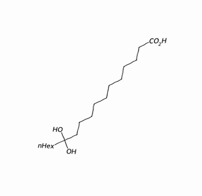 CCCCCCC(O)(O)CCCCCCCCCCC(=O)O